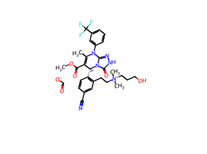 COC(=O)C1=C(C)N(c2cccc(C(F)(F)F)c2)c2n[nH]c(=O)n2[C@@H]1c1ccc(C#N)cc1CC[N+](C)(C)CCCO.O=C[O-]